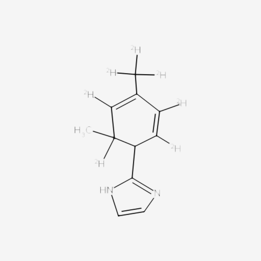 [2H]C1=C([2H])C(c2ncc[nH]2)C([2H])(C)C([2H])=C1C([2H])([2H])[2H]